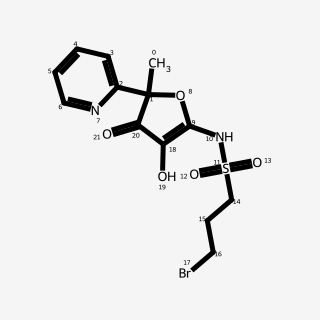 CC1(c2ccccn2)OC(NS(=O)(=O)CCCBr)=C(O)C1=O